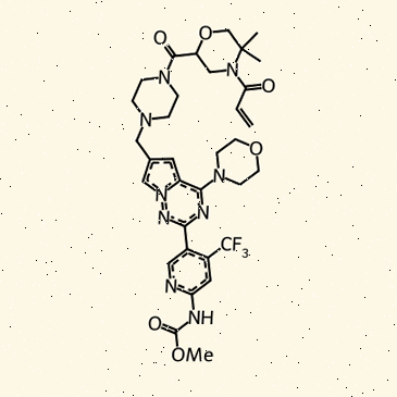 C=CC(=O)N1CC(C(=O)N2CCN(Cc3cc4c(N5CCOCC5)nc(-c5cnc(NC(=O)OC)cc5C(F)(F)F)nn4c3)CC2)OCC1(C)C